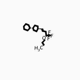 CCCCOC(CC=C[C@H]1CC[C@H](C2CCCCC2)CC1)C(F)(F)F